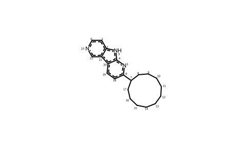 c1cc2[nH]c3nc(C4CCCCCCCCCC4)ccc3c2cn1